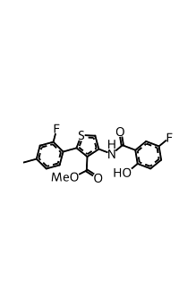 COC(=O)c1c(NC(=O)c2cc(F)ccc2O)csc1-c1ccc(C)cc1F